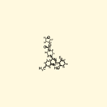 Cc1ccc2c(N3CCN(C(=O)OC4CCOC4)CC3)nc(-c3c(O)cccc3F)nc2c1